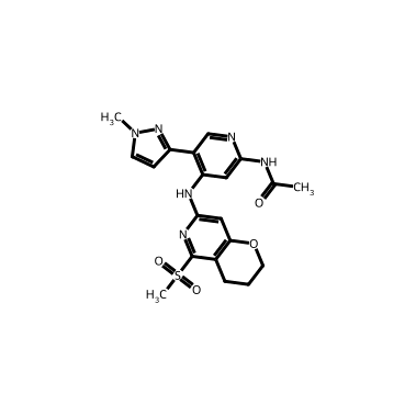 CC(=O)Nc1cc(Nc2cc3c(c(S(C)(=O)=O)n2)CCCO3)c(-c2ccn(C)n2)cn1